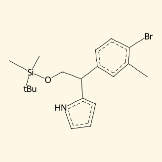 Cc1cc(C(CO[Si](C)(C)C(C)(C)C)c2ccc[nH]2)ccc1Br